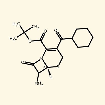 CC(C)(C)OC(=O)C1=C(C(=O)C2CCCCC2)CS[C@@H]2C(N)C(=O)N12